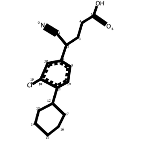 N#CC(CCC(=O)O)c1ccc(C2CCCCC2)c(Cl)c1